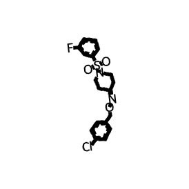 O=S(=O)(c1cccc(F)c1)N1CCC(=NOCc2ccc(Cl)cc2)CC1